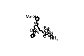 COc1cccc(-c2cc(C#CCCCOC(=O)[C@H](CC(N)=O)NC(=O)OC(C)(C)C)c(/C=C3\SC(=S)N(C4CC5CCC4C5)C3=O)s2)c1